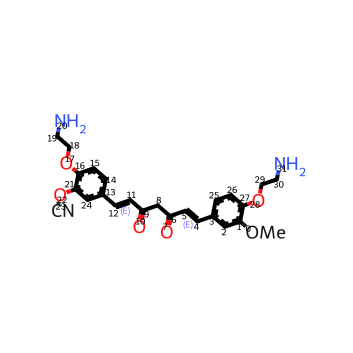 COc1cc(/C=C/C(=O)CC(=O)/C=C/c2ccc(OCCN)c(OC#N)c2)ccc1OCCN